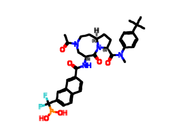 CC(=O)N1CC[C@H]2CC[C@@H](C(=O)N(C)c3ccc(C(C)(C)C)cc3)N2C(=O)[C@@H](NC(=O)c2ccc3ccc(C(F)(F)P(O)O)cc3c2)C1